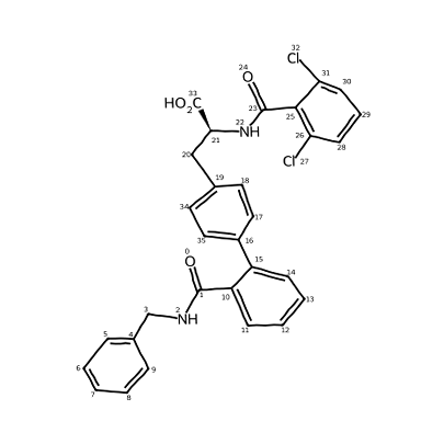 O=C(NCc1ccccc1)c1ccccc1-c1ccc(C[C@H](NC(=O)c2c(Cl)cccc2Cl)C(=O)O)cc1